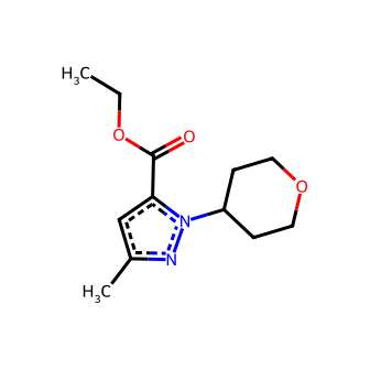 CCOC(=O)c1cc(C)nn1C1CCOCC1